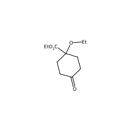 CCOC(=O)C1(OCC)CCC(=O)CC1